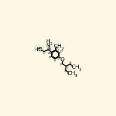 CCC(CC)COc1ccc([C@@H](N)CO)c(C)c1